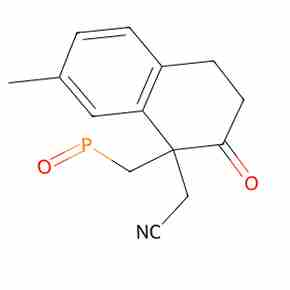 Cc1ccc2c(c1)C(CC#N)(CP=O)C(=O)CC2